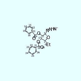 CCC1OC(N=[N+]=[N-])C(OC(=O)c2ccccc2)C1OC(=O)c1ccccc1